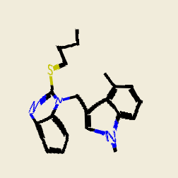 CCCCSc1nc2ccccc2n1Cc1cn(C)c2cccc(C)c12